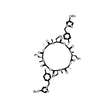 CC(C)COc1cnn(Cc2ccc(C[C@H]3OC(=O)[C@H](CC(C)C)N(C)C(=O)[C@@H](C)OC(=O)[C@H](CC(C)C)N(C)C(=O)[C@@H](Cc4ccc(Cn5cc(OCC(C)C)cn5)cc4)OC(=O)[C@H](CC(C)C)N(C)C(=O)[C@@H](C)OC(=O)[C@H](CC(C)C)N(C)C3=O)cc2)c1